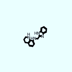 c1cc2c(c(NCc3nc4ccccc4[nH]3)c1)NCCC2